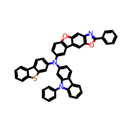 c1ccc(-c2nc3cc4oc5ccc(N(c6ccc7c(c6)sc6ccccc67)c6ccc7c8ccccc8n(-c8ccccc8)c7c6)cc5c4cc3o2)cc1